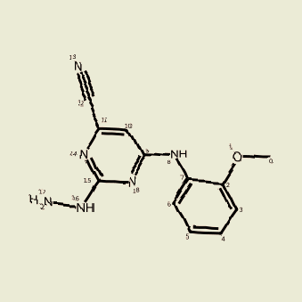 COc1ccccc1Nc1cc(C#N)nc(NN)n1